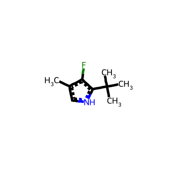 Cc1c[nH]c(C(C)(C)C)c1F